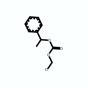 CC(OC(=O)OCCl)c1ccccc1